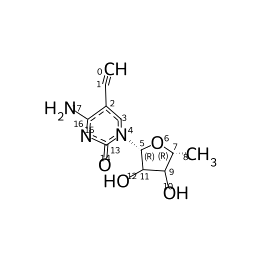 C#Cc1cn([C@@H]2O[C@H](C)C(O)C2O)c(=O)nc1N